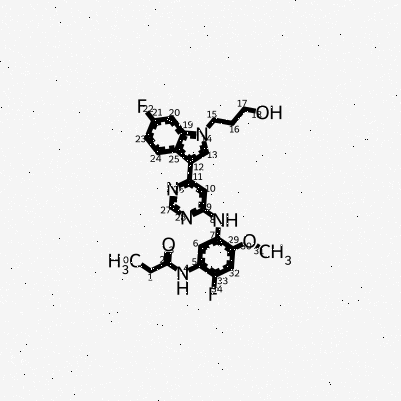 CCC(=O)Nc1cc(Nc2cc(-c3cn(CCCO)c4cc(F)ccc34)ncn2)c(OC)cc1F